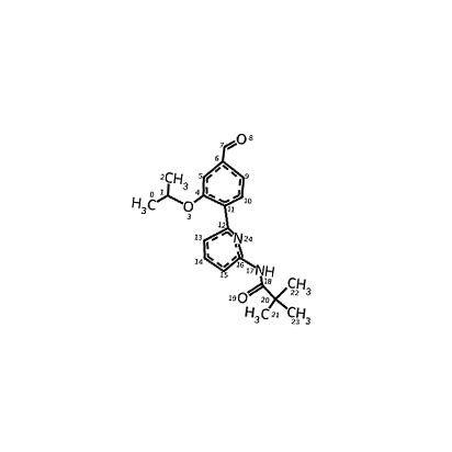 CC(C)Oc1cc(C=O)ccc1-c1cccc(NC(=O)C(C)(C)C)n1